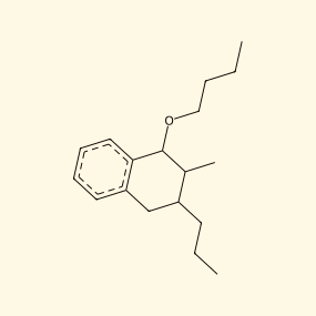 CCCCOC1c2ccccc2CC(CCC)C1C